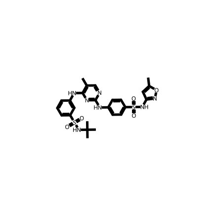 Cc1cc(NS(=O)(=O)c2ccc(Nc3ncc(C)c(Nc4cccc(S(=O)(=O)NC(C)(C)C)c4)n3)cc2)no1